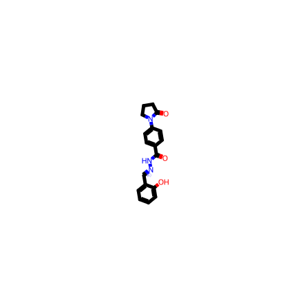 O=C(N/N=C/c1ccccc1O)c1ccc(N2CCCC2=O)cc1